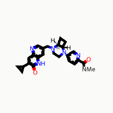 CNC(=O)c1ccc(N2CCN(Cc3cnc4cc(C5CC5)c(=O)[nH]c4c3)[C@H]3CC[C@@H]32)cn1